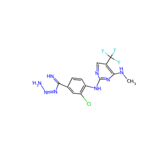 CNc1nc(Nc2ccc(C(=N)/N=N\N)cc2Cl)ncc1C(F)(F)F